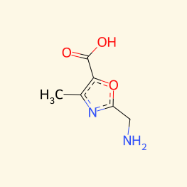 Cc1nc(CN)oc1C(=O)O